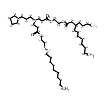 CCCCCCCCCCSSCCOC(=O)CCN(CCCN1CCCC1)CCC(=O)OCCOC(=O)CC(CCCC)CCCCCCCC